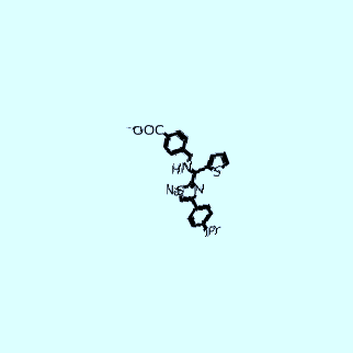 CC(C)c1ccc(-c2csc(C(NCc3ccc(C(=O)[O-])cc3)c3cccs3)n2)cc1.[Na+]